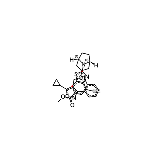 C#Cc1cc(C(=O)OC)cc2sc(N3[C@@H]4CC[C@H]3CC(OCc3c(-c5ccccc5Cl)noc3C3CC3)C4)nc12